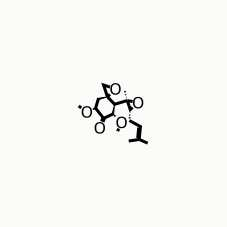 CO[C@@H]1C(=O)[C@H](OC)C[C@]2(CO2)[C@H]1[C@@]1(C)O[C@@H]1CC=C(C)C